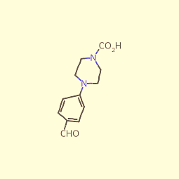 O=Cc1ccc(N2CCN(C(=O)O)CC2)cc1